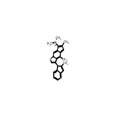 CC1=Cc2ccccc2C1C1=CSC2C=C3C(=CC(C)=C3[SiH](C)C)C(C)=C12